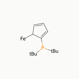 CC(C)(C)P(C1=CC=C[CH]1[Fe])C(C)(C)C